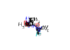 C=Cc1cc(CNC(=O)/C=C/c2ccc(C(F)F)nc2NCC)cc(F)c1NS(C)(=O)=O